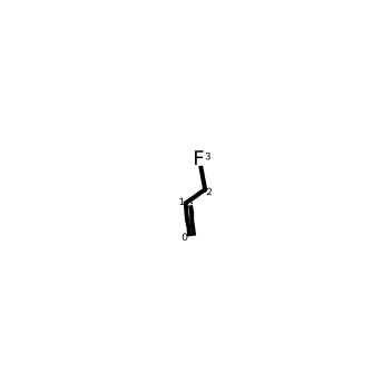 C=[C]CF